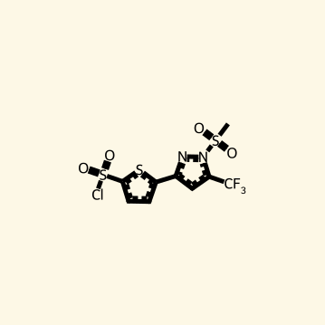 CS(=O)(=O)n1nc(-c2ccc(S(=O)(=O)Cl)s2)cc1C(F)(F)F